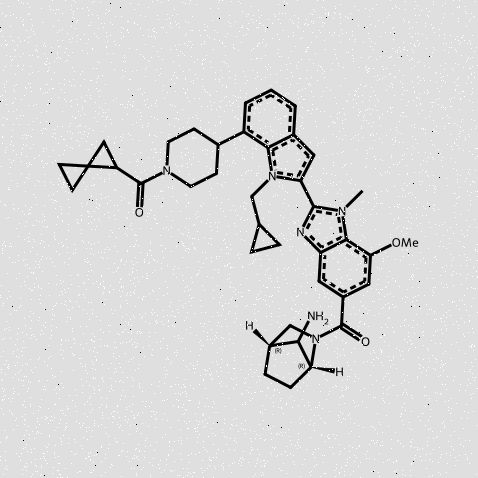 COc1cc(C(=O)N2C[C@H]3CC[C@@H]2C3N)cc2nc(-c3cc4cccc(C5CCN(C(=O)C6CC67CC7)CC5)c4n3CC3CC3)n(C)c12